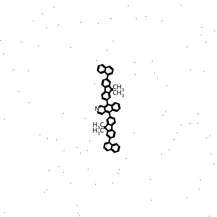 CC1(C)c2cc(-c3cccc4ccccc34)ccc2-c2ccc(-c3c4ccccc4c(-c4ccc5c(c4)C(C)(C)c4cc(-c6cccc7ccccc67)ccc4-5)c4cnccc34)cc21